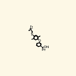 CCN(C)/C=N/c1cc(C)c(Oc2cccc(C(O)C(C)C)c2)cc1C